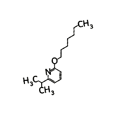 CCCCCCCOc1cccc(C(C)C)n1